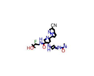 CN(C)C(=O)NCC1CC(Nc2cc(-c3ccc4cc(C#N)cnn34)ncc2C(=O)NC[C@@H](F)C(C)(C)O)C1